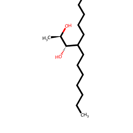 CCCCCCCC(CCCCC)[C@H](O)[C@@H](C)O